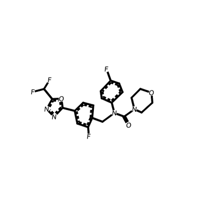 O=C(N1CCOCC1)N(Cc1ccc(-c2nnc(C(F)F)o2)cc1F)c1ccc(F)cc1